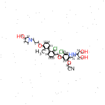 Cc1c(OCCCN2CCC(O)C2)cccc1-c1cccc(COc2cc(OCC#N)c(CNC(CO)CO)cc2Cl)c1Cl